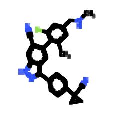 CNCc1cc(C)c(-c2cc3c(-c4ccc(C5(C#N)CC5)cc4)n[nH]c3cc2C#N)c(F)c1